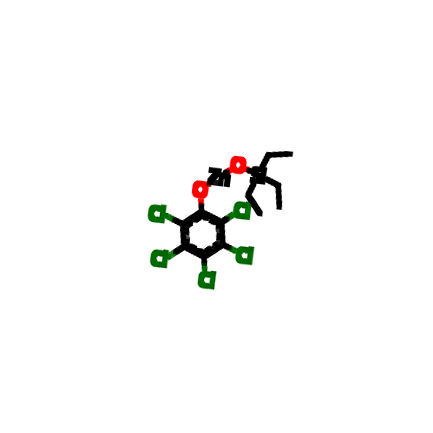 CC[Si](CC)(CC)[O][Zn][O]c1c(Cl)c(Cl)c(Cl)c(Cl)c1Cl